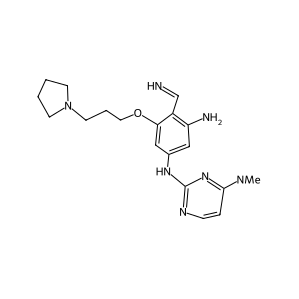 CNc1ccnc(Nc2cc(N)c(C=N)c(OCCCN3CCCC3)c2)n1